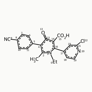 CCn1c(C)c(-c2ccc(C#N)cc2)c(=O)c(C(=O)O)c1-c1ccnc(Cl)c1